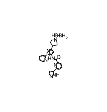 BBN1CCC(c2cc(NC(=O)c3cccc(-c4ccn[nH]4)n3)n(-c3ccccn3)n2)CC1